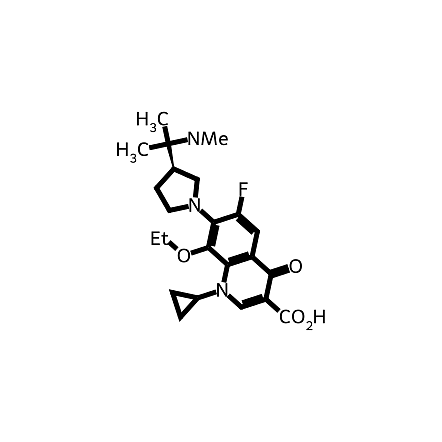 CCOc1c(N2CC[C@@H](C(C)(C)NC)C2)c(F)cc2c(=O)c(C(=O)O)cn(C3CC3)c12